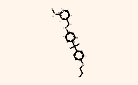 CCCOc1ccc(C(C)(C)c2ccc(OCc3ccnc(SC)n3)cc2)cc1